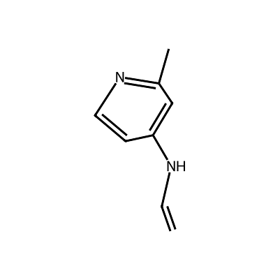 C=CNc1ccnc(C)c1